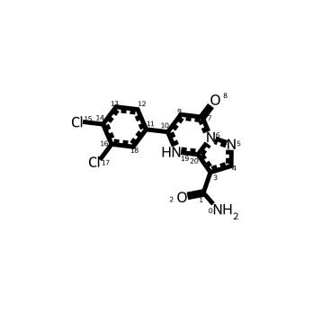 NC(=O)c1cnn2c(=O)cc(-c3ccc(Cl)c(Cl)c3)[nH]c12